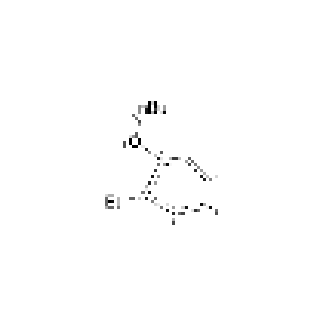 CCCCOc1ccc[c]c1CC